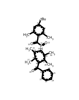 Cc1cc(C(C)(C)C)cc(C)c1C(=O)[PH](=O)c1c(C)c(C)c(C(=O)c2ccccc2)c(C)c1C